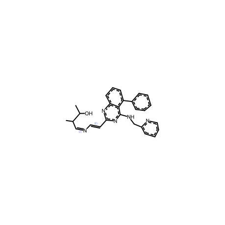 CC(O)C(C)/C=N\C=C\c1nc(NCc2ccccn2)c2c(-c3ccccc3)cccc2n1